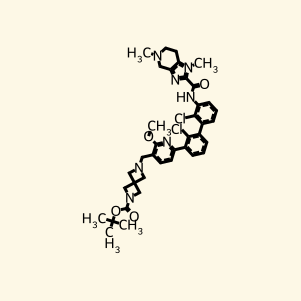 COc1nc(-c2cccc(-c3cccc(NC(=O)c4nc5c(n4C)CCN(C)C5)c3Cl)c2Cl)ccc1CN1CC2(C1)CN(C(=O)OC(C)(C)C)C2